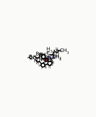 C=Cc1nc(-c2cccc(-c3cccc(C(=C/C)/N=C(/C)C(=C)CN4CC(C)C4)c3S(=O)(=O)c3ccc(Br)cc3)c2SC)cnc1CN1CCC1